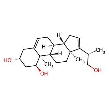 C[C@H](CO)C1=CC[C@H]2[C@@H]3CC=C4C[C@@H](O)C[C@H](O)[C@]4(C)[C@H]3CC[C@]12C